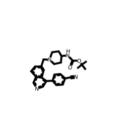 CC(C)(C)OC(=O)NC1CCN(Cc2ccc3cncc(-c4ccc(C#N)cc4)c3c2)CC1